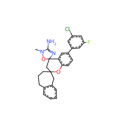 CN1OC2(CC3(CCCc4ccccc4C3)Oc3ccc(-c4cc(F)cc(Cl)c4)cc32)N=C1N